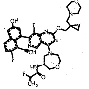 C#Cc1c(F)ccc2cc(O)cc(-c3ncc4c(N5CCOC[C@@H](NC(=O)C(=C)F)C5)nc(OCC5(CN6CCOCC6)CC5)nc4c3F)c12